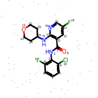 O=C(Nc1c(F)cccc1Cl)c1cc(F)cnc1NC1CCOCC1